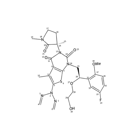 C=NN(N=C)c1sc2c(c1C)c(=O)n([C@]1(C)CCN(C)C1=O)c(=O)n2C[C@H](OCCO)c1cc(F)ccc1OC